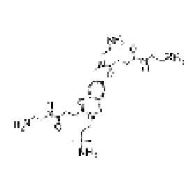 CC(C)(N)CCN(Cc1ccc(CN(CCN)C(=O)CCC(=O)NCCN)cc1)C(=O)CCC(=O)NCCN